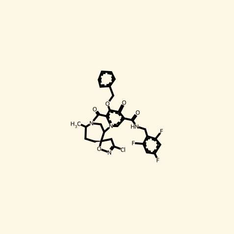 CC1CC[C@]2(CC(Cl)=NO2)C2CN1C(=O)c1c(OCc3ccccc3)c(=O)c(C(=O)NCc3c(F)cc(F)cc3F)cn12